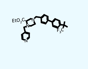 CCOC(=O)[C@@H]1CN(Cc2ccc(-c3ccc(C(C)(C)C(F)(F)F)cc3)cc2)CCN1Cc1ccncc1